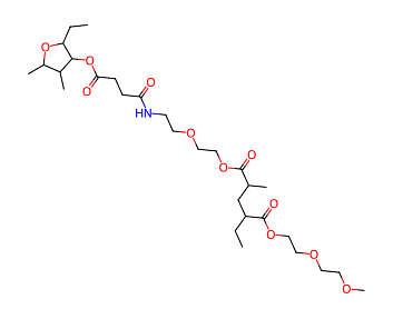 CCC(CC(C)C(=O)OCCOCCNC(=O)CCC(=O)OC1C(CC)OC(C)C1C)C(=O)OCCOCCOC